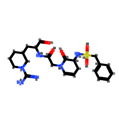 N=C(N)N1CCCC(CC(C=O)NC(=O)CN2C=CCC(NS(=O)(=O)Cc3ccccc3)C2=O)C1